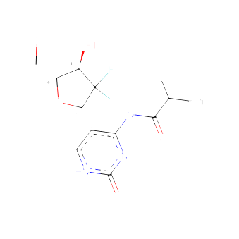 CCCC(CCC)C(=O)Nc1nc(=O)[nH]cc1[C@@H]1O[C@H](CO)[C@@H](O)C1(F)F